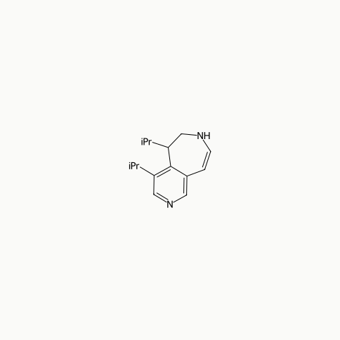 CC(C)c1cncc2c1C(C(C)C)CNC=C2